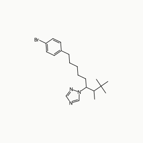 CC(C(CCCCCc1ccc(Br)cc1)n1cncn1)C(C)(C)C